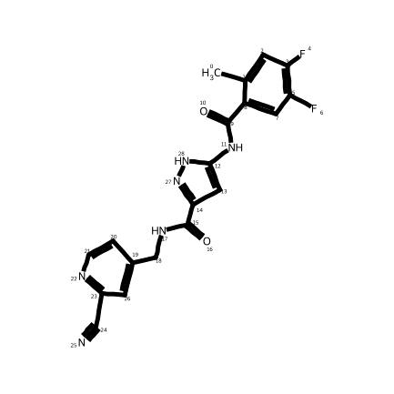 Cc1cc(F)c(F)cc1C(=O)Nc1cc(C(=O)NCc2ccnc(C#N)c2)n[nH]1